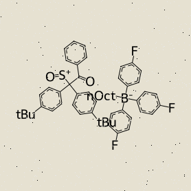 CC(C)(C)c1ccc(C([S+]=O)(C(=O)c2ccccc2)c2ccc(C(C)(C)C)cc2)cc1.CCCCCCCC[B-](c1ccc(F)cc1)(c1ccc(F)cc1)c1ccc(F)cc1